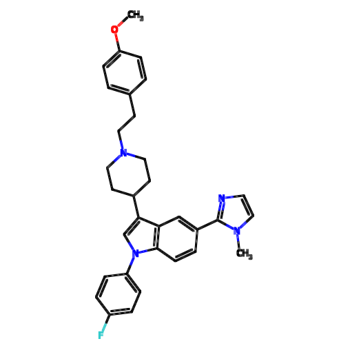 COc1ccc(CCN2CCC(c3cn(-c4ccc(F)cc4)c4ccc(-c5nccn5C)cc34)CC2)cc1